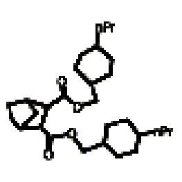 CCCC1CCC(COC(=O)C2C3CCC(C3)C2C(=O)OCC2CCC(CCC)CC2)CC1